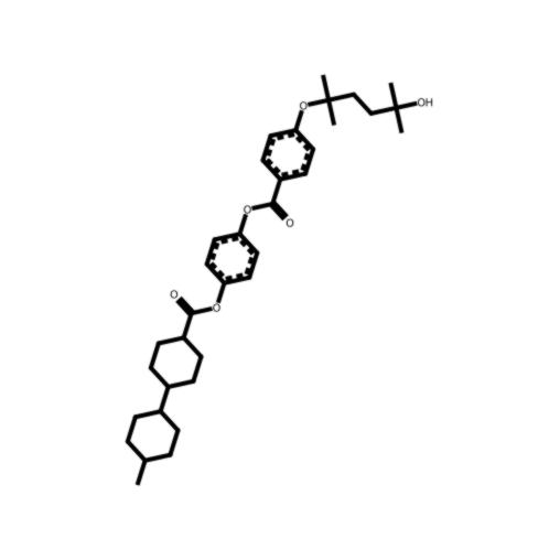 CC1CCC(C2CCC(C(=O)Oc3ccc(OC(=O)c4ccc(OC(C)(C)CCC(C)(C)O)cc4)cc3)CC2)CC1